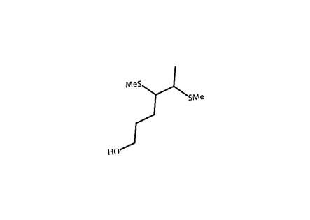 CSC(C)C(CCCO)SC